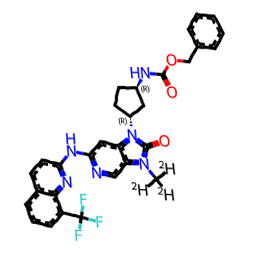 [2H]C([2H])([2H])n1c(=O)n([C@@H]2CC[C@@H](NC(=O)OCc3ccccc3)C2)c2cc(Nc3ccc4cccc(C(F)(F)F)c4n3)ncc21